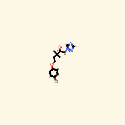 CC(C)(CCOc1ccc(Cl)cc1)C(=O)Cn1cncn1